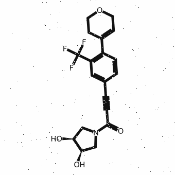 O=C(C#Cc1ccc(C2=CCOCC2)c(C(F)(F)F)c1)N1C[C@@H](O)[C@@H](O)C1